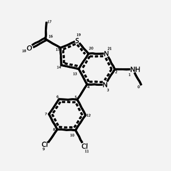 CNc1nc(-c2ccc(Cl)c(Cl)c2)c2cc(C(C)=O)sc2n1